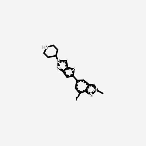 Cn1cc2cc(-c3cc4nn(C5CCNCC5)cc4s3)cc(F)c2n1